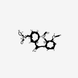 COc1cccc(C(=O)c2cccc([N+](=O)[O-])c2)c1OC